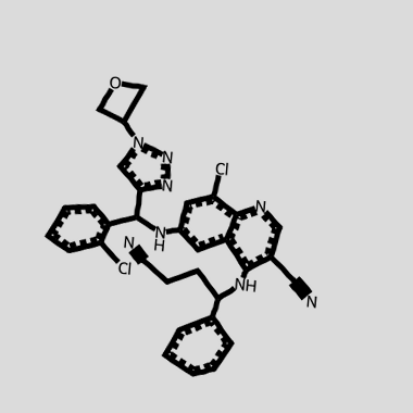 N#CCCC(Nc1c(C#N)cnc2c(Cl)cc(NC(c3cn(C4COC4)nn3)c3ccccc3Cl)cc12)c1ccccc1